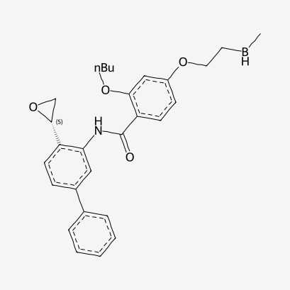 CBCCOc1ccc(C(=O)Nc2cc(-c3ccccc3)ccc2[C@H]2CO2)c(OCCCC)c1